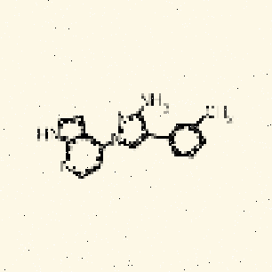 Cc1cccc(-c2cn(-c3ccnc4[nH]ccc34)nc2N)c1